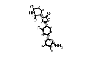 Cc1cc(-c2ccc(-c3cn([C@@H]4CCC(=O)NC4=O)c(=O)o3)c(F)c2)nc(N)c1C